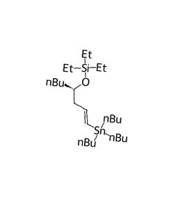 CCCC[C@H](C/C=[CH]/[Sn]([CH2]CCC)([CH2]CCC)[CH2]CCC)O[Si](CC)(CC)CC